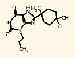 CCCn1c(=O)[nH]c(=O)c2[nH]c(C3(C)CCC(C)(O)CC3)nc21